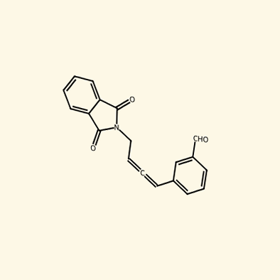 O=Cc1cccc(C=C=CCN2C(=O)c3ccccc3C2=O)c1